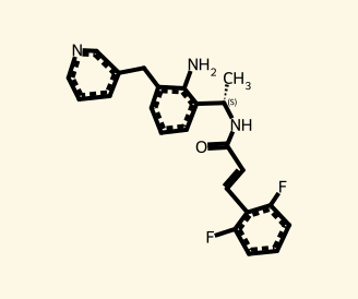 C[C@H](NC(=O)C=Cc1c(F)cccc1F)c1cccc(Cc2cccnc2)c1N